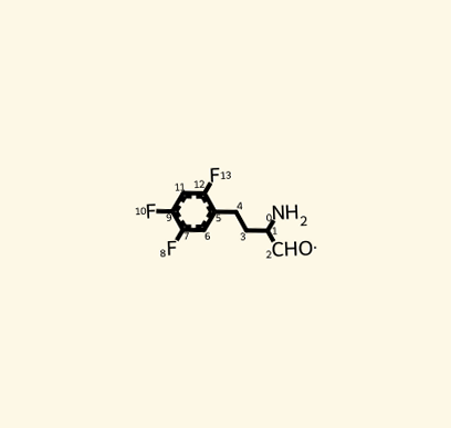 NC([C]=O)CCc1cc(F)c(F)cc1F